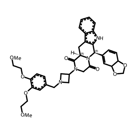 COCCOc1ccc(CN2CC(N3CC(=O)N4[C@H](Cc5c([nH]c6ccccc56)[C@H]4C4=CC5OCOC5C=C4)C3=O)C2)cc1OCCOC